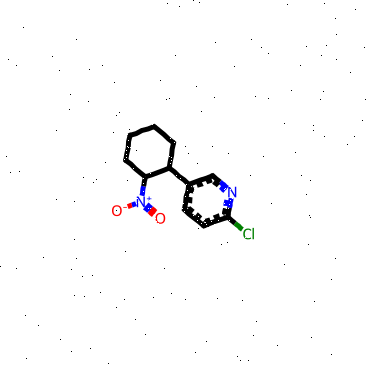 O=[N+]([O-])C1CCCCC1c1ccc(Cl)nc1